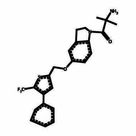 CC(C)(N)C(=O)N1CCc2cc(OCc3cc(-c4ccccc4)c(C(F)(F)F)s3)ccc21